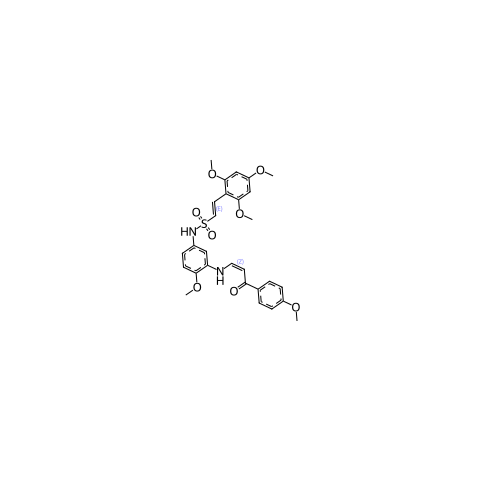 COc1ccc(C(=O)/C=C\Nc2cc(NS(=O)(=O)/C=C/c3c(OC)cc(OC)cc3OC)ccc2OC)cc1